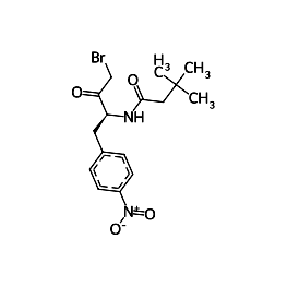 CC(C)(C)CC(=O)N[C@@H](Cc1ccc([N+](=O)[O-])cc1)C(=O)CBr